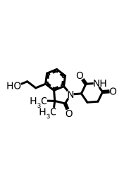 CC1(C)C(=O)N(C2CCC(=O)NC2=O)c2cccc(CCO)c21